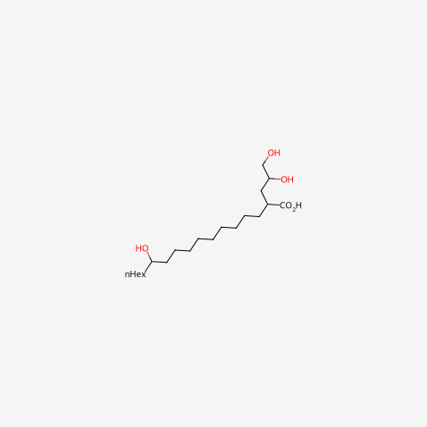 CCCCCCC(O)CCCCCCCCCC(CC(O)CO)C(=O)O